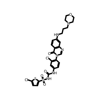 O=C(Nc1ccc(-n2cnc3cc(NCCCN4CCOCC4)ccc3c2=O)c(Cl)c1)NS(=O)(=O)c1ccc(Cl)s1